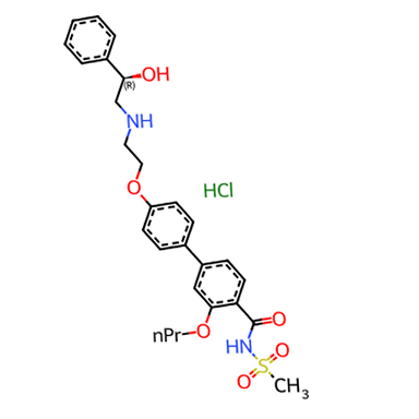 CCCOc1cc(-c2ccc(OCCNC[C@H](O)c3ccccc3)cc2)ccc1C(=O)NS(C)(=O)=O.Cl